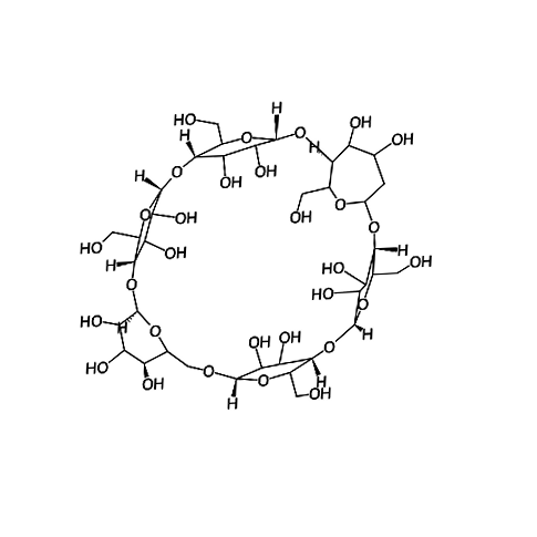 OCC1OC2CC(O)C(O)[C@@H]1O[C@H]1OC(CO)[C@@H](O[C@H]3OC(CO)[C@@H](O[C@H]4OC(CO[C@H]5OC(CO)[C@@H](O[C@H]6OC(CO)[C@@H](O2)C(O)C6O)C(O)C5O)[C@@H](O)C(O)C4O)C(O)C3O)C(O)C1O